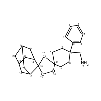 NCC1(c2ccccc2)CCC2(CC1)OOC1(O2)C2CC3CC(C2)CC1C3